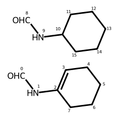 O=CNC1=CCCCC1.O=CNC1CCCCC1